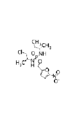 CC[C@H](C)NP(=O)(N[C@@H](C)CCl)OCc1ccc([N+](=O)[O-])o1